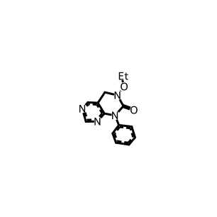 CCON1Cc2cncnc2N(c2ccccc2)C1=O